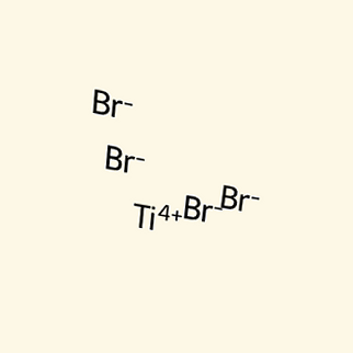 [Br-].[Br-].[Br-].[Br-].[Ti+4]